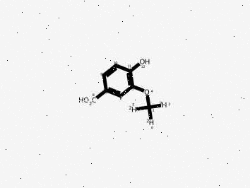 [2H]C([2H])([2H])Oc1cc(C(=O)O)ccc1O